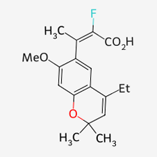 CCC1=CC(C)(C)Oc2cc(OC)c(/C(C)=C(/F)C(=O)O)cc21